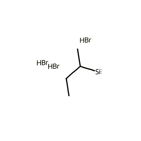 Br.Br.Br.CCC(C)[Si]